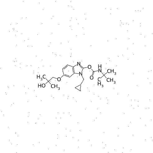 CC(C)(O)COc1ccc2nc(OC(=O)NC(C)(C)C)n(CC3CC3)c2c1